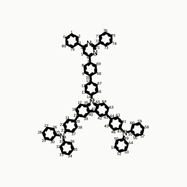 c1ccc(-c2cc(-c3ccc(-c4ccc(-n5c6ccc(-c7ccc(N(c8ccccc8)c8ccccc8)cc7)cc6c6cc(-c7ccc(N(c8ccccc8)c8ccccc8)cc7)ccc65)cc4)cc3)nc(-c3ccccc3)n2)cc1